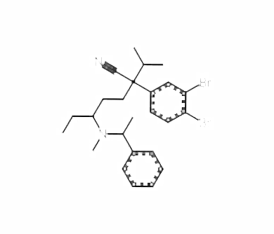 CCC(CCC(C#N)(c1ccc(Br)c(Br)c1)C(C)C)N(C)C(C)c1ccccc1